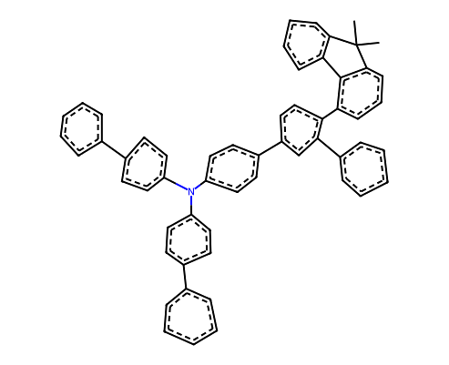 CC1(C)c2ccccc2-c2c(-c3ccc(-c4ccc(N(c5ccc(-c6ccccc6)cc5)c5ccc(-c6ccccc6)cc5)cc4)cc3-c3ccccc3)cccc21